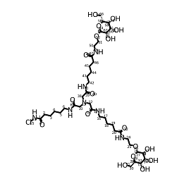 O=C(CCCCCNC(=O)CN(CC(=O)NCCCCCC(=O)NCCO[C@H]1O[C@H](CO)[C@@H](O)[C@H](O)[C@@H]1O)CC(=O)NCCCCCC(=O)NCCO[C@H]1O[C@H](CO)[C@@H](O)[C@H](O)[C@@H]1O)NCl